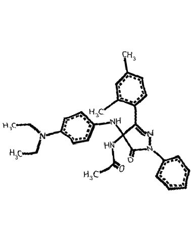 CCN(CC)c1ccc(NC2(NC(C)=O)C(=O)N(c3ccccc3)N=C2c2ccc(C)cc2C)cc1